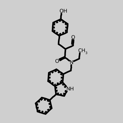 CCN(Cc1cccc2c(-c3ccccc3)c[nH]c12)C(=O)C(C=O)Cc1ccc(O)cc1